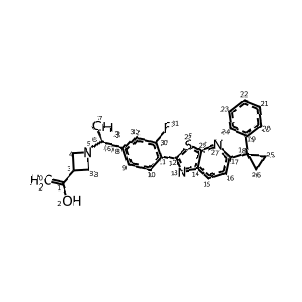 C=C(O)C1CN([C@@H](C)c2ccc(-c3nc4ccc(C5(c6ccccc6)CC5)nc4s3)c(F)c2)C1